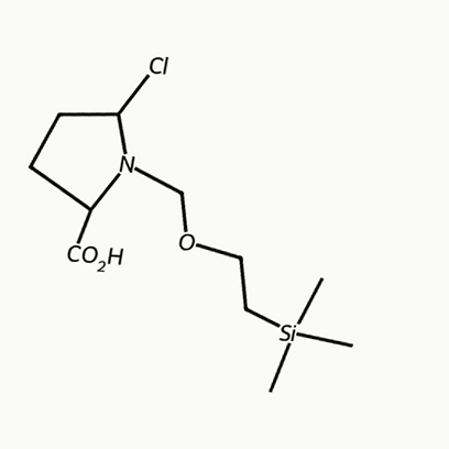 C[Si](C)(C)CCOCN1C(Cl)CCC1C(=O)O